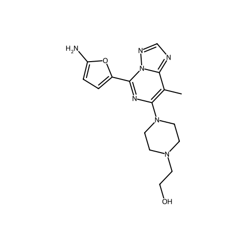 Cc1c(N2CCN(CCO)CC2)nc(-c2ccc(N)o2)n2ncnc12